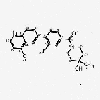 CC1(O)CCN(C(=O)c2ccc(-c3ccc4nccc(Cl)c4c3)c(F)c2)CC1